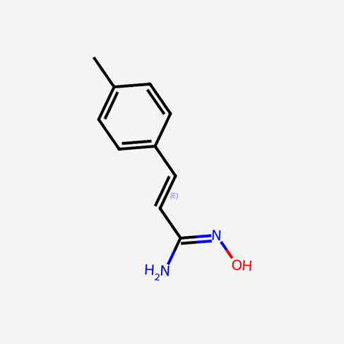 Cc1ccc(/C=C/C(N)=NO)cc1